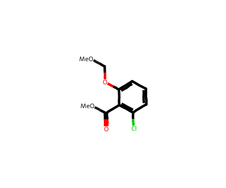 COCOc1cccc(Cl)c1C(=O)OC